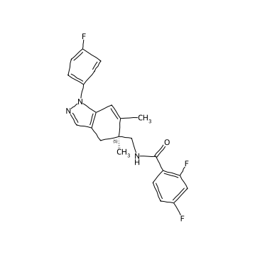 CC1=Cc2c(cnn2-c2ccc(F)cc2)C[C@]1(C)CNC(=O)c1ccc(F)cc1F